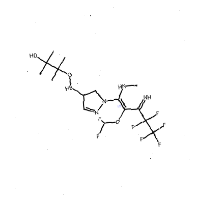 CN/C(=C(/OC(F)F)C(=N)C(F)(F)C(F)(F)F)N1CC(BOC(C)(C)C(C)(C)O)C=N1